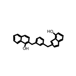 Oc1cccc2ccc(Cc3cccc(Cc4ccc5ccccc5c4O)c3)cc12